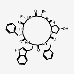 CC(C)[C@@H]1NC(=O)[C@H](C(C)C)NC(=O)[C@H]2C[C@@H](O)CN2C(=O)[C@H](Cc2ccccc2)NC(=O)[C@@H](Cc2c[nH]c3ccccc23)NC(=O)[C@H](Cc2ccccc2)NC1=O